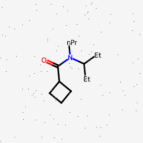 CCCN(C(=O)C1CCC1)C(CC)CC